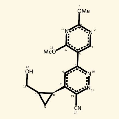 COc1ncc(-c2cc([C@H]3CC3CO)c(C#N)nn2)c(OC)n1